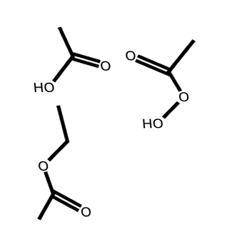 CC(=O)O.CC(=O)OO.CCOC(C)=O